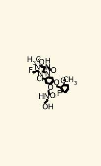 COc1cccc(F)c1COc1cc(-n2c(=O)[nH]c3c(OC)nc(CF)nc32)c(Cl)cc1OCC(=O)NCCO